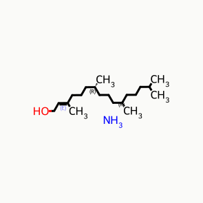 C/C(=C\CO)CCC[C@H](C)CCC[C@H](C)CCCC(C)C.N